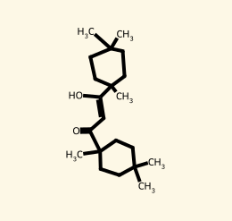 CC1(C)CCC(C)(C(=O)/C=C(\O)C2(C)CCC(C)(C)CC2)CC1